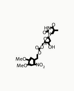 COc1cc(CCOC(=O)OC[C@H]2O[C@@H](n3cc(C)c(=O)[nH]c3=O)CC2O)c([N+](=O)[O-])cc1OC